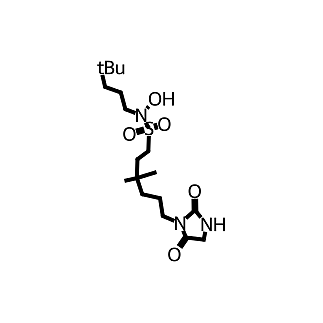 CC(C)(C)CCCN(O)S(=O)(=O)CCC(C)(C)CCCN1C(=O)CNC1=O